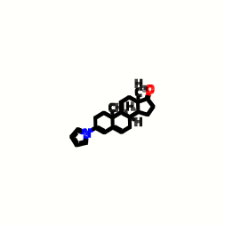 C[C@]12CCC(n3cccc3)=CC1=CC[C@@H]1C2=CC[C@]2(C)C(=O)CC[C@@H]12